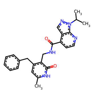 Cc1cc(Cc2ccccc2)c(CNC(=O)c2ccnc3c2cnn3C(C)C)c(=O)[nH]1